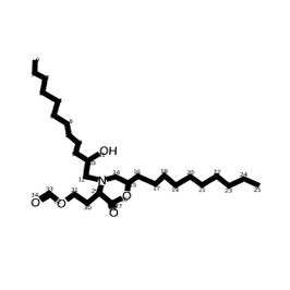 CCCCCCCCCCC(O)CN1CC(CCCCCCCCCC)OC(=O)C1CCOC=O